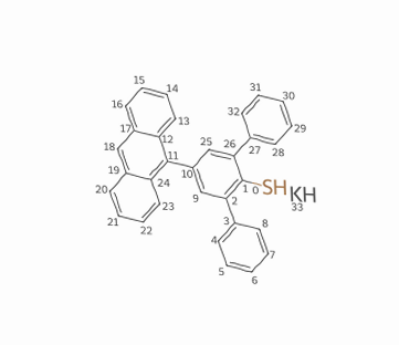 Sc1c(-c2ccccc2)cc(-c2c3ccccc3cc3ccccc23)cc1-c1ccccc1.[KH]